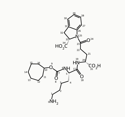 NCCCC[C@H](NC(=O)OC1CCCCCC1)C(=O)N[C@H](CCC(=O)N1c2ccccc2C[C@H]1C(=O)O)C(=O)O